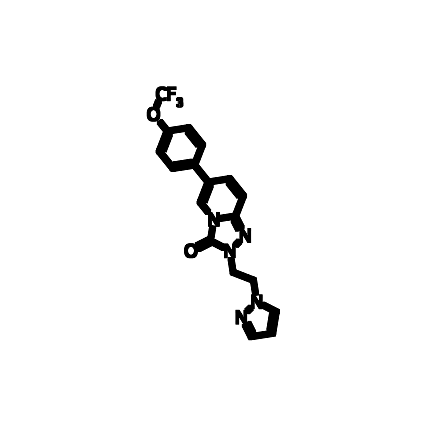 O=c1n(CCn2cccn2)nc2ccc(-c3ccc(OC(F)(F)F)cc3)cn12